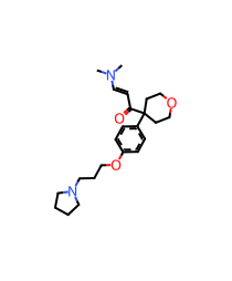 CN(C)C=CC(=O)C1(c2ccc(OCCCN3CCCC3)cc2)CCOCC1